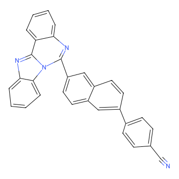 N#Cc1ccc(-c2ccc3cc(-c4nc5ccccc5c5nc6ccccc6n45)ccc3c2)cc1